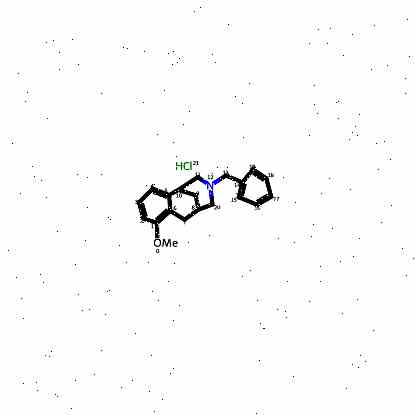 COc1cccc2c1CC1CC2CN(Cc2ccccc2)C1.Cl